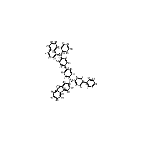 c1ccc(-c2ccc(N(c3ccc(-c4ccc(N(c5ccccc5)c5cccc6ccccc56)cc4)cc3)c3ccc4c(c3)oc3ccccc34)cc2)cc1